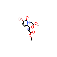 CCOC(=O)/C=C/c1ccc(Br)c(=O)n1CC(=O)OC